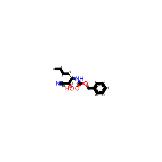 CCCC[C@H](NC(=O)OCc1ccccc1)C(O)C#N